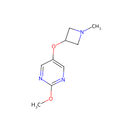 COc1ncc(OC2CN(C)C2)cn1